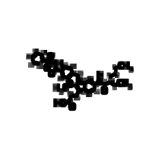 CCCCC(CC)C(=O)Nc1ccc2c(C=CC(=O)O)cn(Cc3ccc(C(=O)NS(=O)(=O)c4ccccc4)cc3OC)c2c1